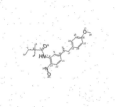 CCC(C)(C)C(=O)Nc1cc(SCc2ccc(OC)cc2)ccc1N=O